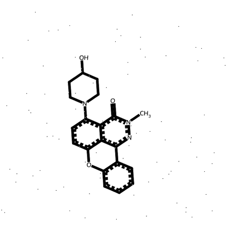 Cn1nc2c3c(ccc(N4CCC(O)CC4)c3c1=O)Oc1ccccc1-2